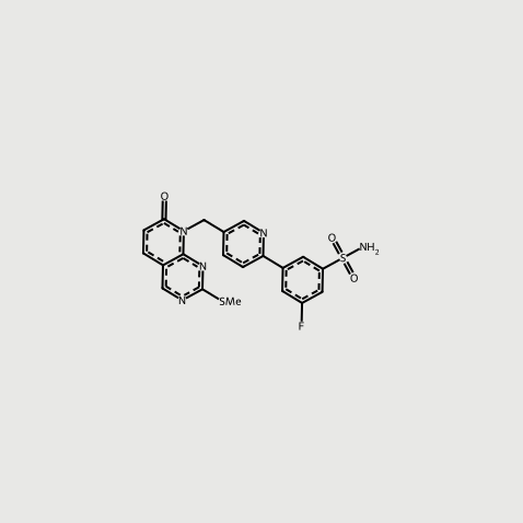 CSc1ncc2ccc(=O)n(Cc3ccc(-c4cc(F)cc(S(N)(=O)=O)c4)nc3)c2n1